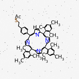 CC(=O)SCCc1ccc(C2=C3C=CC(=N3)C(c3c(C)cc(C)cc3C)=C3C=CC(=N3)C(c3c(C)cc(C)cc3C)=C3C=CC(=N3)C(c3c(C)cc(C)cc3C)=C3C=CC2=N3)cc1